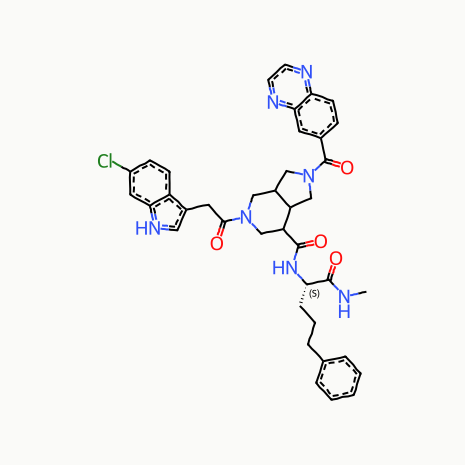 CNC(=O)[C@H](CCCc1ccccc1)NC(=O)C1CN(C(=O)Cc2c[nH]c3cc(Cl)ccc23)CC2CN(C(=O)c3ccc4nccnc4c3)CC21